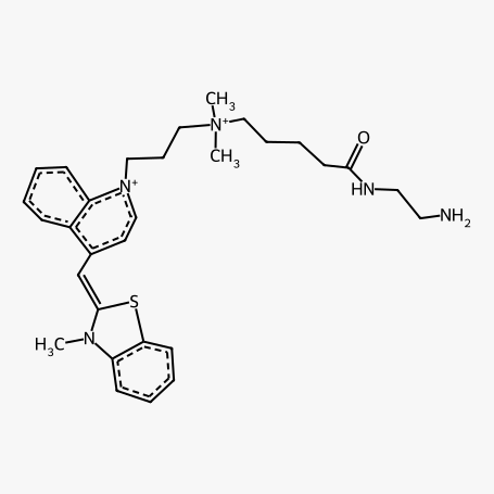 CN1/C(=C/c2cc[n+](CCC[N+](C)(C)CCCCC(=O)NCCN)c3ccccc23)Sc2ccccc21